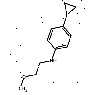 COCCNc1ccc(C2CC2)cc1